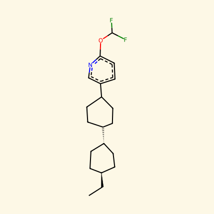 CC[C@H]1CC[C@H](C2CCC(c3ccc(OC(F)F)nc3)CC2)CC1